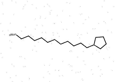 CCCCCCCCCCCCCCCCCCCC[C]1CCCC1